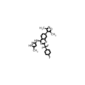 Cc1cc(Nc2nc(C(F)(F)c3ccc(F)cc3)nc3cc(-c4c(C)noc4C)ccc23)n[nH]1